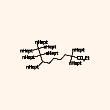 CCCCCCCC(CCCCC(CCCCCCC)(CCCCCCC)C(=O)OCC)C(CCCCCCC)(CCCCCCC)C(CCCCCCC)(CCCCCCC)CCCCCCC